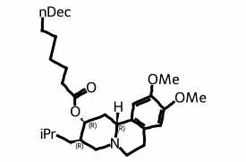 CCCCCCCCCCCCCCCC(=O)O[C@@H]1C[C@@H]2c3cc(OC)c(OC)cc3CCN2C[C@H]1CC(C)C